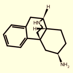 N[C@@H]1CC[C@H]2[C@H]3Cc4ccccc4[C@@]2(CCN3)C1